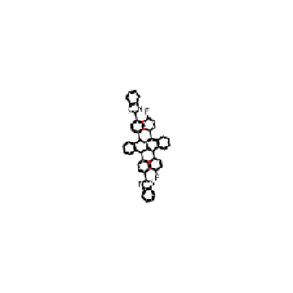 Fc1ccc(-c2c3ccccc3c(-c3ccc(F)cc3)c3c(-c4ccc(-c5nc6ccccc6s5)cc4)c4ccccc4c(-c4ccc(-c5nc6ccccc6s5)cc4)c23)cc1